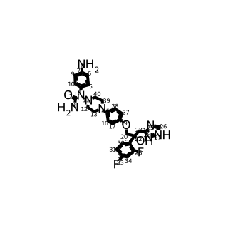 NC(=O)N(c1ccc(N)cc1)N1CCN(c2ccc(OCC(O)(Cc3nc[nH]n3)c3ccc(F)cc3F)cc2)CC1